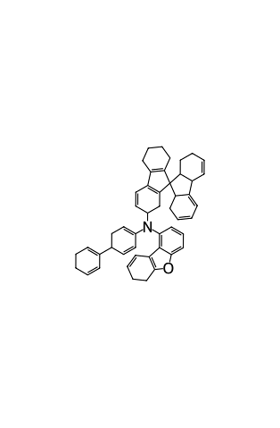 C1=CCC2C(=C1)C1C=CCCC1C21C2=C(C=CC(N(C3=CCC(C4=CCCC=C4)C=C3)c3cccc4oc5c(c34)C=CCC5)C2)C2=C1CCCC2